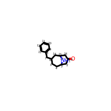 O=C1CC2CCC(Cc3ccccc3)CC(C1)N2